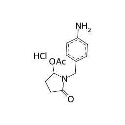 CC(=O)OC1CCC(=O)N1Cc1ccc(N)cc1.Cl